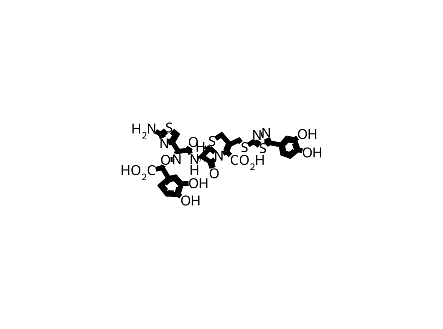 Nc1nc(C(=NOC(C(=O)O)c2ccc(O)c(O)c2)C(=O)N[C@@H]2C(=O)N3C(C(=O)O)=C(CSc4nnc(-c5ccc(O)c(O)c5)s4)CS[C@@H]23)cs1